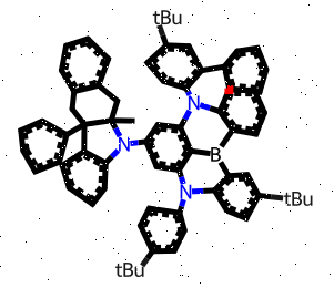 CC(C)(C)c1ccc(N2c3ccc(C(C)(C)C)cc3B3c4ccccc4N(c4ccc(C(C)(C)C)cc4-c4ccccc4)c4cc(N5c6ccccc6C6(c7ccccc7)Cc7ccccc7CC56C)cc2c43)cc1